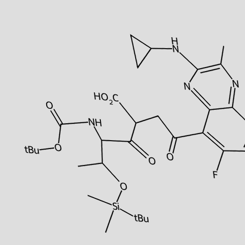 Cc1nc2ccc(F)c(C(=O)CC(C(=O)O)C(=O)C(NC(=O)OC(C)(C)C)C(C)O[Si](C)(C)C(C)(C)C)c2nc1NC1CC1